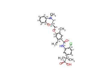 Cc1cc(C(=O)Nc2cc(C(C)(C)C(=O)O)ccc2Cl)c(C)cc1OC[C@@H]1CN(C)c2ccccc2O1